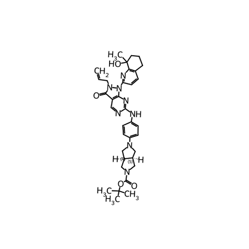 C=CCn1c(=O)c2cnc(Nc3ccc(N4C[C@H]5CN(C(=O)OC(C)(C)C)C[C@H]5C4)cc3)nc2n1-c1ccc2c(n1)C(C)(O)CCC2